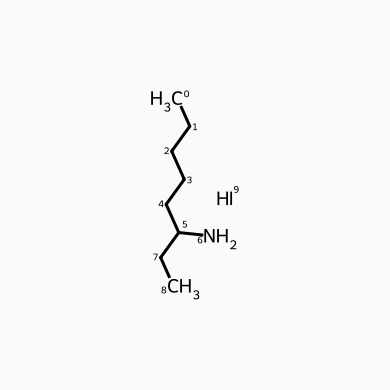 CCCCCC(N)CC.I